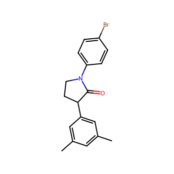 Cc1cc(C)cc(C2CCN(c3ccc(Br)cc3)C2=O)c1